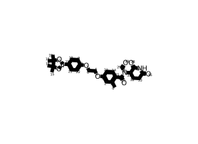 Cc1cc(OCCOc2ccc(B3OC(C)(C)C(C)(C)O3)cc2)ccc1C(=O)N(C=O)C1CCC(=O)NC1=O